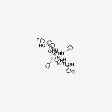 O=C(Nc1ccc2ncc(-c3ccc(F)cc3O)nc2n1)N(CCCCc1ccccc1)N(C(=O)NCCCCc1ccccc1)c1ccc2ncc(NC[C@@H](O)c3cccc(Cl)c3)nc2n1